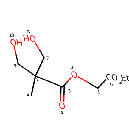 CCOC(=O)COC(=O)C(C)(CO)CO